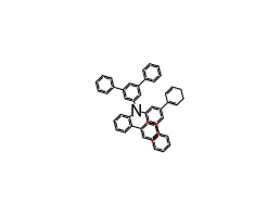 C1=CC(c2cc(-c3ccccc3)cc(N(c3cc(-c4ccccc4)cc(-c4ccccc4)c3)c3ccccc3-c3ccccc3)c2)=CCC1